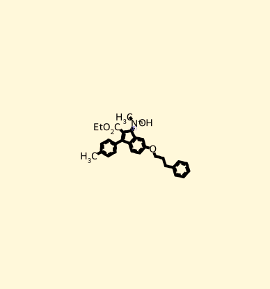 CCOC(=O)C1=C(c2ccc(C)cc2)c2ccc(OCCCc3ccccc3)cc2/C1=[N+](/C)O